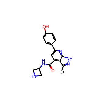 CCc1n[nH]c2nc(-c3ccc(O)cc3)cc(C(=O)NC3CNC3)c12